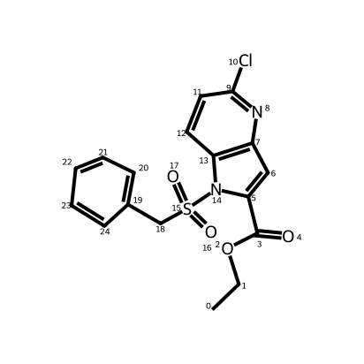 CCOC(=O)c1cc2nc(Cl)ccc2n1S(=O)(=O)Cc1ccccc1